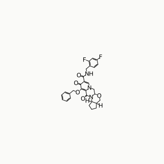 O=C(NCc1ccc(F)cc1F)c1cn2c(c(OCc3ccccc3)c1=O)C(=O)N1C(C2)OC[C@@H]2CCC[C@@H]21